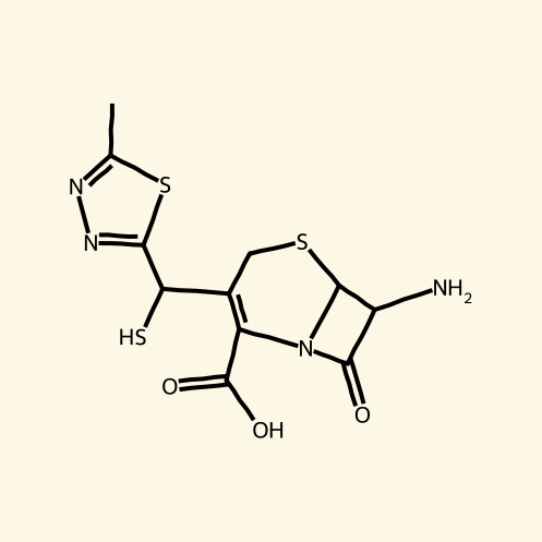 Cc1nnc(C(S)C2=C(C(=O)O)N3C(=O)C(N)C3SC2)s1